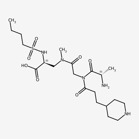 CCCCS(=O)(=O)N[C@@H](CN(C)C(=O)CN(C(=O)CCC1CCNCC1)C(=O)[C@H](C)N)C(=O)O